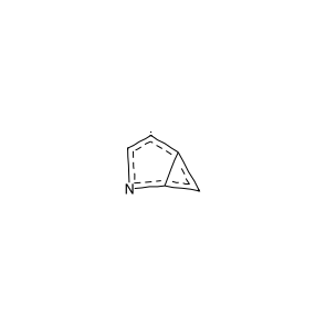 [c]1cnc2cc1-2